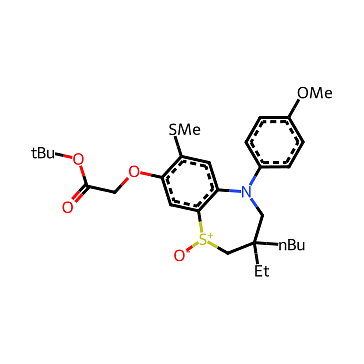 CCCCC1(CC)CN(c2ccc(OC)cc2)c2cc(SC)c(OCC(=O)OC(C)(C)C)cc2[S+]([O-])C1